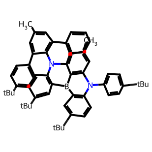 Cc1cc(-c2ccccc2)c(N2c3ccc(C(C)(C)C)cc3B3c4cc(C(C)(C)C)ccc4N(c4ccc(C(C)(C)C)cc4)c4cc(C)cc2c43)c(-c2ccc(C(C)(C)C)cc2)c1